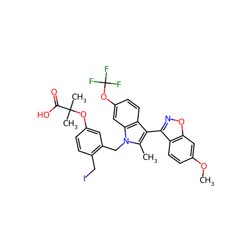 COc1ccc2c(-c3c(C)n(Cc4cc(OC(C)(C)C(=O)O)ccc4CI)c4cc(OC(F)(F)F)ccc34)noc2c1